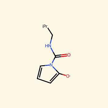 CC(C)CNC(=O)n1cccc1[O]